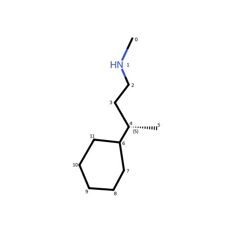 CNCC[C@H](C)C1CCCCC1